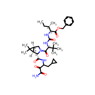 CC[C@H](C)[C@H](NC(=O)N[C@H](C(=O)N1C[C@H]2[C@@H]([C@H]1C(=O)NC(CC1CC1)C(=O)C(N)=O)C2(C)C)C(C)(C)C)C(=O)OCc1ccccc1